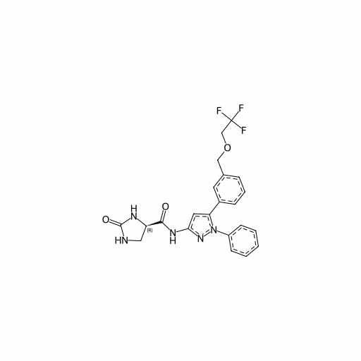 O=C1NC[C@H](C(=O)Nc2cc(-c3cccc(COCC(F)(F)F)c3)n(-c3ccccc3)n2)N1